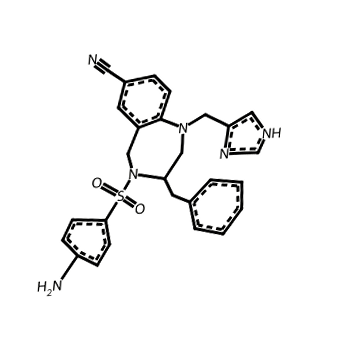 N#Cc1ccc2c(c1)CN(S(=O)(=O)c1ccc(N)cc1)C(Cc1ccccc1)CN2Cc1c[nH]cn1